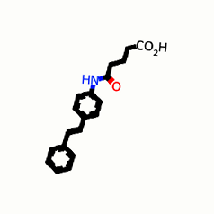 O=C(O)CCCC(=O)Nc1ccc(C=Cc2ccccc2)cc1